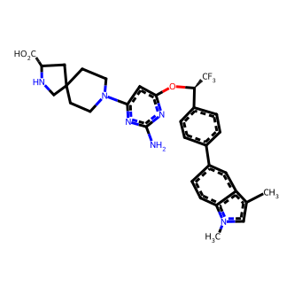 Cc1cn(C)c2ccc(-c3ccc([C@@H](Oc4cc(N5CCC6(CC5)CNC(C(=O)O)C6)nc(N)n4)C(F)(F)F)cc3)cc12